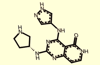 O=c1[nH]ccc2nc(N[C@@H]3CCNC3)nc(Nc3cn[nH]c3)c12